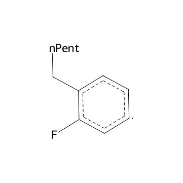 CCCCCCc1cc[c]cc1F